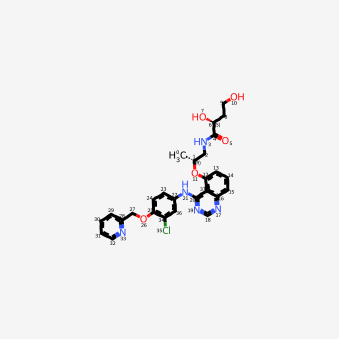 C[C@H](CNC(=O)[C@@H](O)CCO)Oc1cccc2ncnc(Nc3ccc(OCc4ccccn4)c(Cl)c3)c12